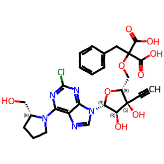 C#C[C@@]1(O)[C@@H](COC(Cc2ccccc2)(C(=O)O)C(=O)O)O[C@@H](n2cnc3c(N4CCC[C@@H]4CO)nc(Cl)nc32)[C@@H]1O